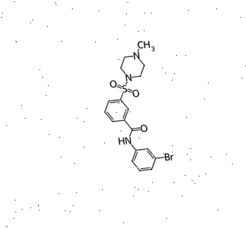 CN1CCN(S(=O)(=O)c2cccc(C(=O)Nc3cccc(Br)c3)c2)CC1